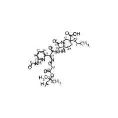 CCSC1(C(=O)O)CS[C@@H]2C(NC(=O)C(=NOCC(=O)OC(C)(C)C)c3cccc(NC=O)n3)C(=O)N2C1